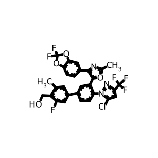 Cc1nc(-c2ccc3c(c2)OC(F)(F)O3)c(-c2cc(-c3cc(C)c(CO)c(F)c3)ccc2-n2nc(C(F)(F)F)cc2Cl)o1